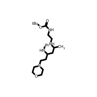 CC(C)NC(CCN1CCOCC1)CC(C)NCCNC(=O)OC(C)(C)C